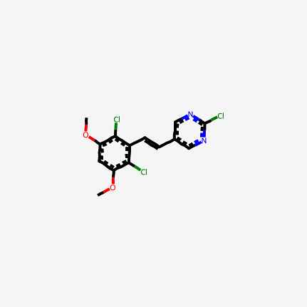 COc1cc(OC)c(Cl)c(/C=C/c2cnc(Cl)nc2)c1Cl